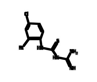 CCc1cc(Cl)ccc1NC(=S)NC(=N)N